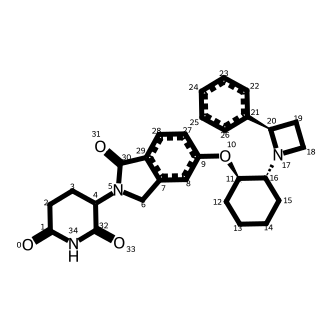 O=C1CCC(N2Cc3cc(O[C@@H]4CCCC[C@H]4N4CC[C@@H]4c4ccccc4)ccc3C2=O)C(=O)N1